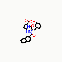 O=C(N[C@H](CC1CCCCC1)C(=O)N1CCC[C@H]1C(=O)O)c1ccc2ccccc2c1